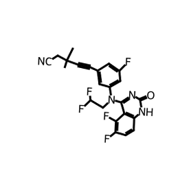 CC(C)(C#Cc1cc(F)cc(N(CC(F)F)c2nc(=O)[nH]c3ccc(F)c(F)c23)c1)CC#N